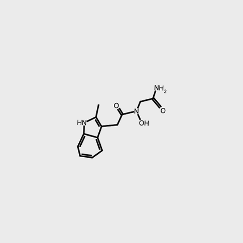 Cc1[nH]c2ccccc2c1CC(=O)N(O)CC(N)=O